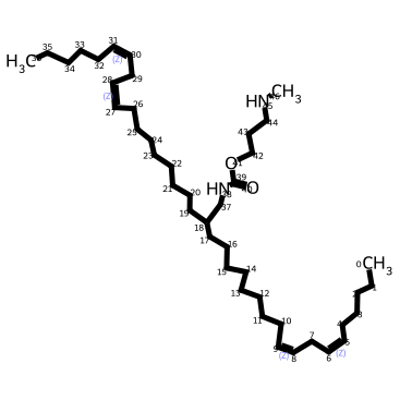 CCCCC/C=C\C/C=C\CCCCCCCCC(CCCCCCCC/C=C\C/C=C\CCCCC)CNC(=O)OCCCNC